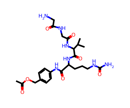 CC(=O)OCc1ccc(NC(=O)C(CCCNC(N)=O)NC(=O)C(NC(=O)CNC(=O)CN)C(C)C)cc1